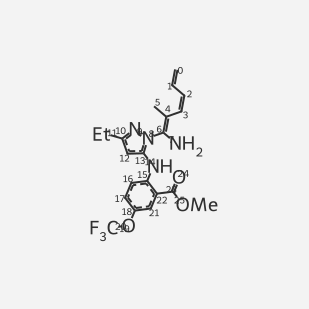 C=C/C=C\C(C)=C(/N)n1nc(CC)cc1Nc1ccc(OC(F)(F)F)cc1C(=O)OC